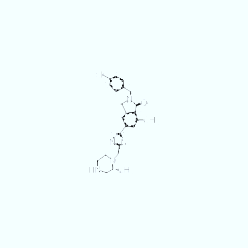 Cc1cc(-c2nc(CN3CCNC[C@@H]3C)no2)cc2c1C(=O)N(Cc1ccc(Cl)cc1)C2